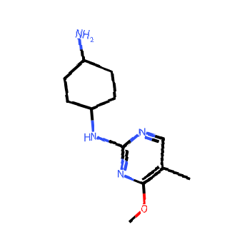 COc1nc(NC2CCC(N)CC2)ncc1C